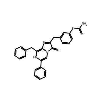 NC(=O)Oc1cccc(Cc2nc3c(Cc4ccccc4)[nH]c(-c4ccccc4)cn-3c2=O)c1